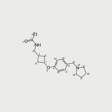 CCC(=O)NCC1CC(Oc2ccc(CN3CCCC3)cc2)C1